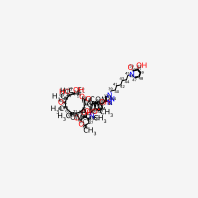 CC[C@H]1OC(=O)[C@H](C)[C@@H](O[C@H]2C[C@@](C)(OC)[C@@H](O)[C@H](C)O2)[C@H](C)[C@@H](O[C@@H]2O[C@H](C)C[C@H](N(C)Cc3ccc(-c4cn(CCCCCCCn5cccc(O)c5=O)nn4)cc3)[C@H]2O)[C@](C)(OC)C[C@@H](C)C(=O)[C@H](C)[C@@H](O)[C@]1(C)O